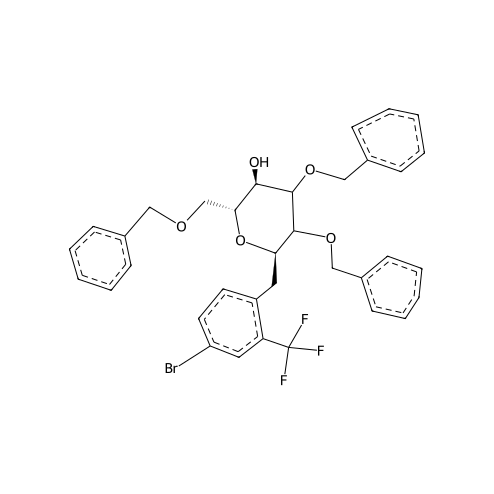 O[C@H]1C(OCc2ccccc2)C(OCc2ccccc2)[C@@H](Cc2ccc(Br)cc2C(F)(F)F)O[C@@H]1COCc1ccccc1